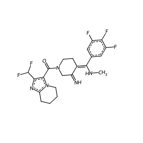 CN/C(=C1/CCN(C(=O)c2c(C(F)F)nc3n2CCCC3)CC1=N)c1cc(F)c(F)c(F)c1